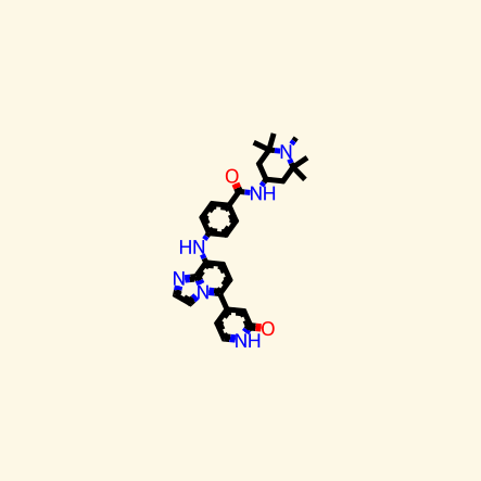 CN1C(C)(C)CC(NC(=O)c2ccc(Nc3ccc(-c4cc[nH]c(=O)c4)n4ccnc34)cc2)CC1(C)C